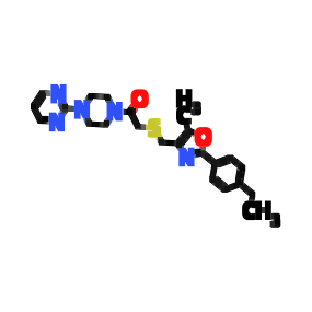 CCc1ccc(-c2nc(CSCC(=O)N3CCN(c4ncccn4)CC3)c(C)o2)cc1